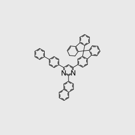 C1=CC2=C(CC1)C1(c3ccccc32)c2ccccc2-c2ccc(-c3cc(-c4ccc(-c5ccccc5)cc4)nc(-c4ccc5ccccc5c4)n3)cc21